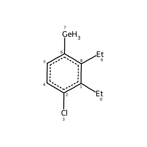 CCc1c(Cl)cc[c]([GeH3])c1CC